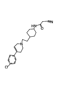 N#CCC(=O)NC1CCC(CCN2CC=C(c3ccc(Cl)cc3)CC2)CC1